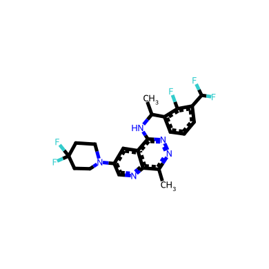 Cc1nnc(NC(C)c2cccc(C(F)F)c2F)c2cc(N3CCC(F)(F)CC3)cnc12